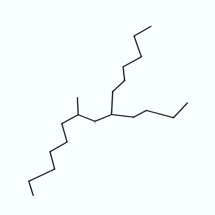 CCCCCCC(C)[CH]C(CCCC)CCCCCC